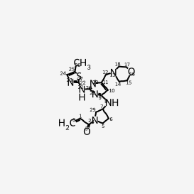 C=CC(=O)N1CCC(Nc2cc(CN3CCOCC3)nc(Nc3ncc(C)s3)n2)C1